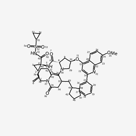 C=C[C@H]1C[C@]1(NC(=O)[C@@H]1C[C@@H](Oc2cc(-c3ccccc3)nc3cc(OC)ccc23)CN1C(=O)C(CC(=O)N1CCCCC1)CC1CCCC1)C(=O)NS(=O)(=O)C1CC1